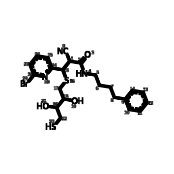 N#CC(C(=O)NCCCCc1ccccc1)C(SCC(O)C(O)CS)c1cccc(Br)n1